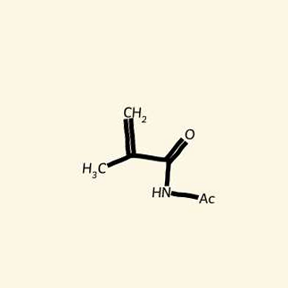 C=C(C)C(=O)[NH][Ac]